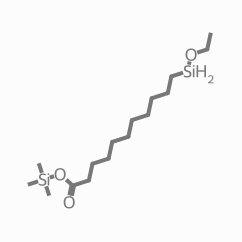 CCO[SiH2]CCCCCCCCCCC(=O)O[Si](C)(C)C